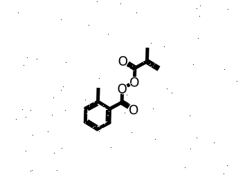 C=C(C)C(=O)OOC(=O)c1ccccc1C